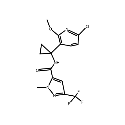 COc1nc(Cl)ccc1C1(NC(=O)c2cc(C(F)(F)F)nn2C)CC1